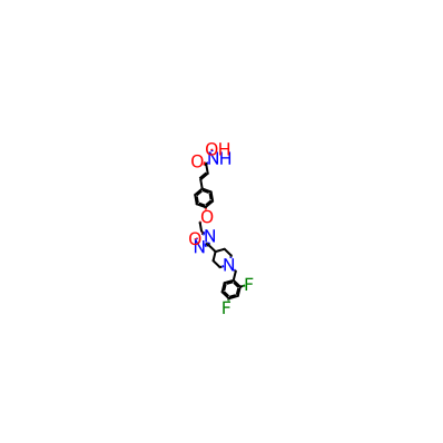 O=C(C=Cc1ccc(OCc2nc(C3CCN(Cc4ccc(F)cc4F)CC3)no2)cc1)NO